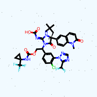 Cn1c(=O)ccc2cc([C@@]3(CC(C)(C)C)NC(=NC(=O)O)N(C(COC(=O)NC4(C(F)(F)F)CC4)c4ccc(Cl)c(-n5ncnc5C(F)F)c4)C3=O)ccc21